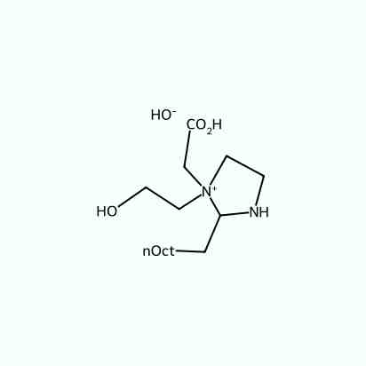 CCCCCCCCCC1NCC[N+]1(CCO)CC(=O)O.[OH-]